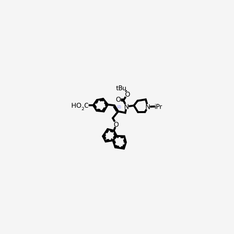 CC(C)N1CCC(N(C/C(=C/c2ccc(C(=O)O)cc2)COc2cccc3ccccc23)C(=O)OC(C)(C)C)CC1